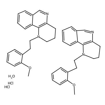 COc1ccccc1CCN1CCCc2ncc3ccccc3c21.COc1ccccc1CCN1CCCc2ncc3ccccc3c21.Cl.Cl.O